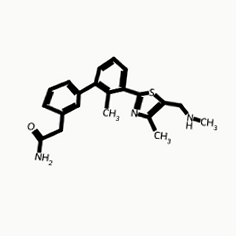 CNCc1sc(-c2cccc(-c3cccc(CC(N)=O)c3)c2C)nc1C